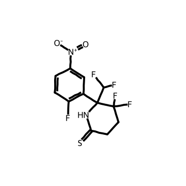 O=[N+]([O-])c1ccc(F)c(C2(C(F)F)NC(=S)CCC2(F)F)c1